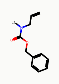 C=CCN(CC)C(=O)OCc1ccccc1